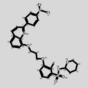 CCN(CC)c1ccc(-c2ccc3cccc(OCCCOc4cccc(S(=O)(=O)OC5CCCCO5)c4C)c3n2)cc1